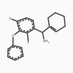 NC(C1=CCCCC1)c1ccc(F)c(Oc2ccccc2)c1F